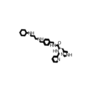 O=C(NCc1ccc(CNCCCNC2CCCCC2)cc1)[C@H](Cc1c[nH]cn1)NCc1ccccn1